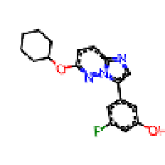 Oc1cc(F)cc(-c2cnc3ccc(OC4CCCCC4)nn23)c1